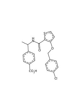 CC(NC(=O)c1sccc1OCc1ccc(Cl)cc1)c1ccc(C(=O)O)cc1